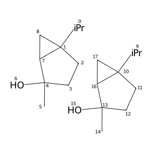 CC(C)C12CCC(C)(O)C1C2.CC(C)C12CCC(C)(O)C1C2